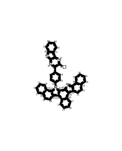 Clc1nc2c(nc1-c1ccc(-n3c4c5ccccc5ccc4c4c5ccccc5c5c6ccc7ccccc7c6sc5c43)cc1)sc1ccccc12